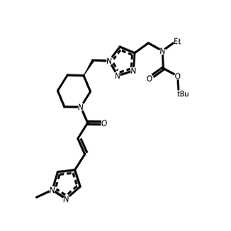 CCN(Cc1cn(C[C@@H]2CCCN(C(=O)/C=C/c3cnn(C)c3)C2)nn1)C(=O)OC(C)(C)C